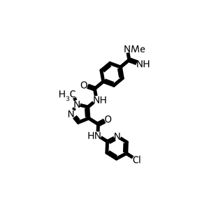 CNC(=N)c1ccc(C(=O)Nc2c(C(=O)Nc3ccc(Cl)cn3)cnn2C)cc1